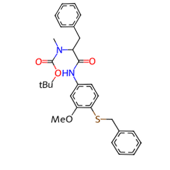 COc1cc(NC(=O)C(Cc2ccccc2)N(C)C(=O)OC(C)(C)C)ccc1SCc1ccccc1